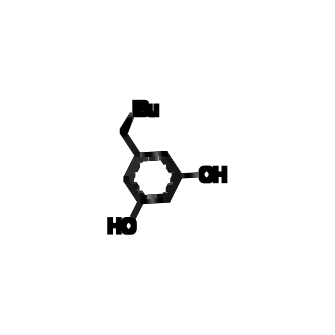 CC[C@H](C)Cc1cc(O)cc(O)c1